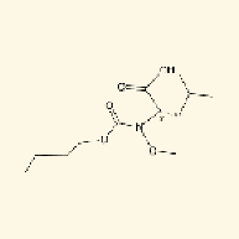 CCCCOC(=O)N(OC)[C@@H](CC(C)C)C(=O)O